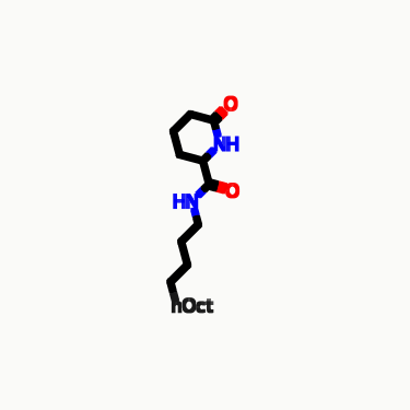 CCCCCCCCCCCCNC(=O)C1CCCC(=O)N1